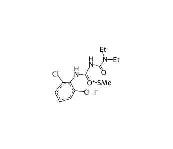 CCN(CC)C(=O)NC(Nc1c(Cl)cccc1Cl)=[O+]SC.[I-]